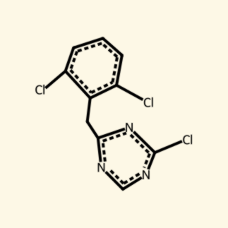 Clc1ncnc(Cc2c(Cl)cccc2Cl)n1